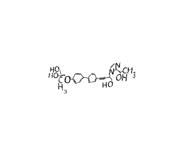 CC(O)c1nccn1C(C#Cc1ccc(-c2ccc(OCC(C)(O)CO)cc2)cc1)CO